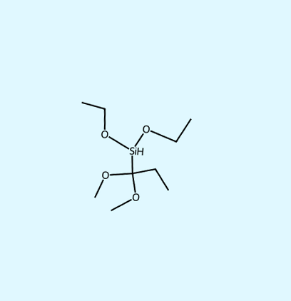 CCO[SiH](OCC)C(CC)(OC)OC